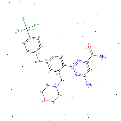 NC(=O)c1cc(N)nc(-c2ccc(Oc3ccc(C(F)(F)F)cc3)cc2CN2CCOCC2)n1